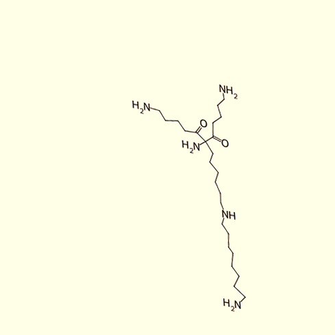 NCCCCCCCCNCCCCCCC(N)(C(=O)CCCCN)C(=O)CCCCN